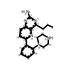 CCCc1nc(N)nc2ccc(-c3ccccc3N3CCNCC3)nc12